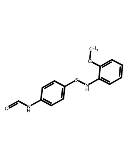 COc1ccccc1NSc1ccc(NC=O)cc1